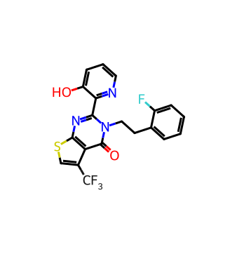 O=c1c2c(C(F)(F)F)csc2nc(-c2ncccc2O)n1CCc1ccccc1F